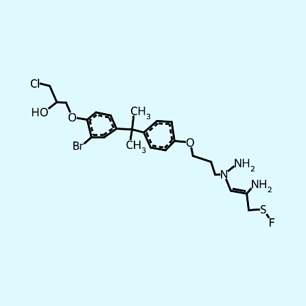 CC(C)(c1ccc(OCCCN(N)/C=C(\N)CSF)cc1)c1ccc(OCC(O)CCl)c(Br)c1